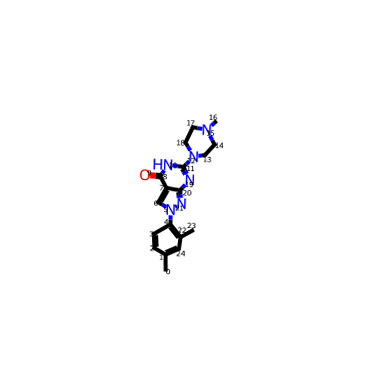 Cc1ccc(-n2cc3c(=O)[nH]c(N4CCN(C)CC4)nc3n2)c(C)c1